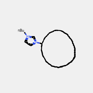 CCCC[n+]1ccn(C2CCCCCCCCCCCCCCC2)c1